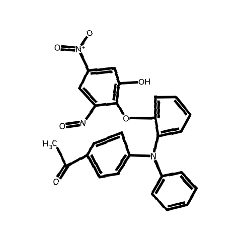 CC(=O)c1ccc(N(c2ccccc2)c2ccccc2Oc2c(O)cc([N+](=O)[O-])cc2N=O)cc1